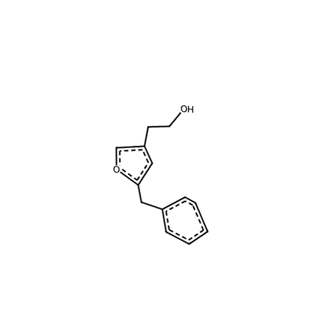 OCCc1coc(Cc2ccccc2)c1